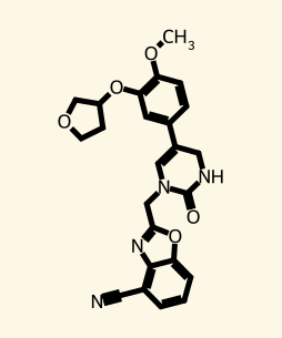 COc1ccc(C2=CN(Cc3nc4c(C#N)cccc4o3)C(=O)NC2)cc1OC1CCOC1